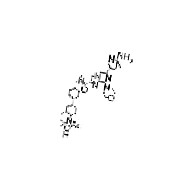 CC(=O)N1c2ccc(-c3ccc(CN(C)C(=O)c4cn5cc(-c6cnc(N)nc6)nc(N6CCOCC6)c5n4)cc3)cc2CCC1(C)O